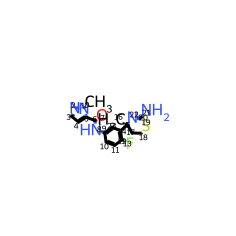 Cn1nccc1C(=O)Nc1ccc(F)c(C2(C)CCSC(N)=N2)c1